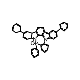 O=P1(c2ccccc2)c2ccccc2-n2c3ccc(-c4ccccc4)cc3c3ccc4c(c32)N1C1C=CC(C2C=CC=CC2)=CC41